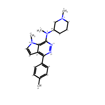 CN1CCC[C@@H](N(C)c2nnc(-c3ccc(C#N)cc3)c3ccn(C)c23)C1